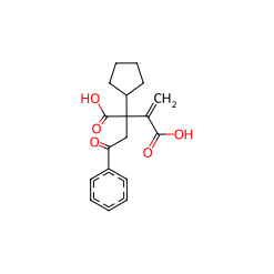 C=C(C(=O)O)C(CC(=O)c1ccccc1)(C(=O)O)C1CCCC1